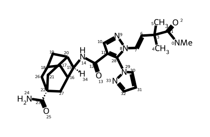 CNC(=O)C(C)(C)/C=C/n1ncc(C(=O)N[C@H]2C3CC4CC2C[C@](C(N)=O)(C4)C3)c1-n1cccn1